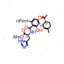 C=C(C)[C@H]1CCC(C)=C[C@@H]1c1c(O)cc(CCCCC)c(C(=O)N[C@@H](Cc2cnc[nH]2)C(=O)OC)c1O